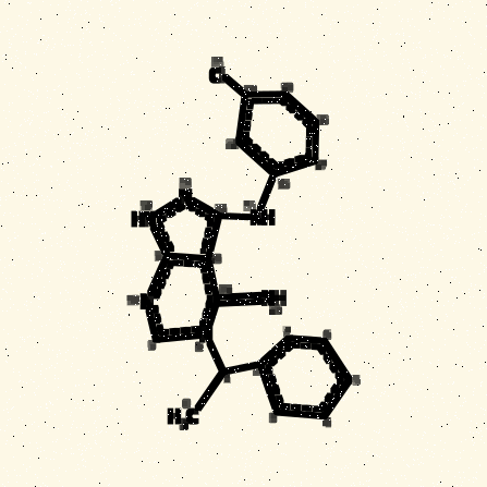 CC(c1ccccc1)n1cnc2[nH]nc(Nc3cccc(Cl)c3)c2c1=N